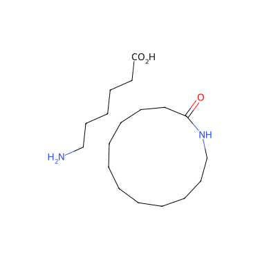 NCCCCCC(=O)O.O=C1CCCCCCCCCCCN1